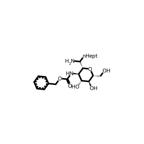 CCCCCCCC(N)[C@@H]1O[C@H](CO)[C@@H](O)[C@H](O)[C@H]1NC(=O)OCc1ccccc1